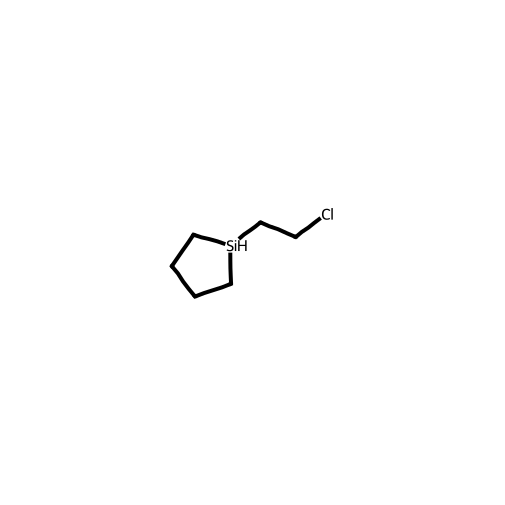 ClCC[SiH]1CCCC1